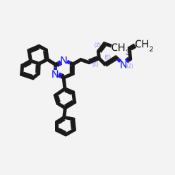 C=C\C=N/C=C/C(/C=C\C)=C/Cc1cc(-c2ccc(-c3ccccc3)cc2)nc(-c2cccc3ccccc23)n1